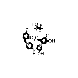 O=C(O)C(F)(F)F.O=C(O)Cc1cc(Cl)c(O)cc1N1C[C@@H](O)[C@H](NC2CCN(Cc3ccc(Cl)cc3)CC2)C1